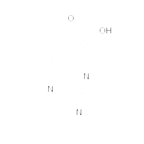 O=C(O)c1cn2cccnc2n1